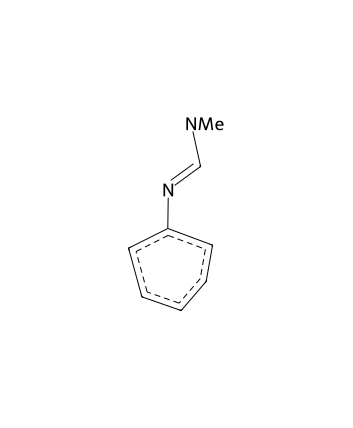 CNC=Nc1ccccc1